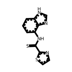 S=C(Nc1cccc2[nH]cnc12)c1nccs1